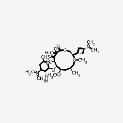 CO[C@@H]1C[C@@H](C)CN(C)[C@H]([C@H]2C[C@@H](N(C)C)C2)COC(=O)C(C)(C)C(=O)[C@H](C)[C@H]1O[C@@H]1O[C@H](C)C[C@H](N(C)C)[C@H]1O